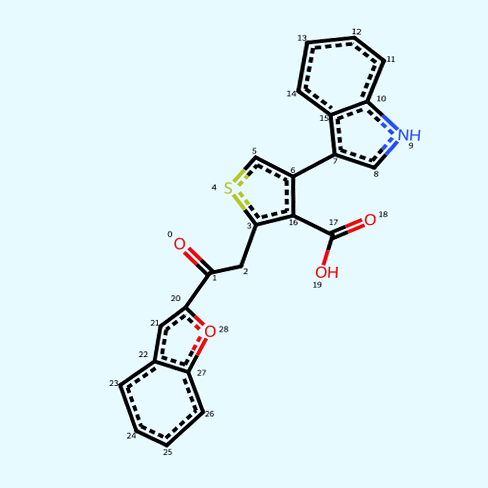 O=C(Cc1scc(-c2c[nH]c3ccccc23)c1C(=O)O)c1cc2ccccc2o1